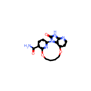 NC(=O)c1ccc2nc1OCCCCOc1ccnc3[nH]c(=O)n-2c13